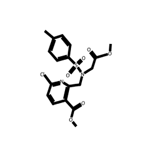 COC(=O)CN(Cc1nc(Cl)ccc1C(=O)OC)S(=O)(=O)c1ccc(C)cc1